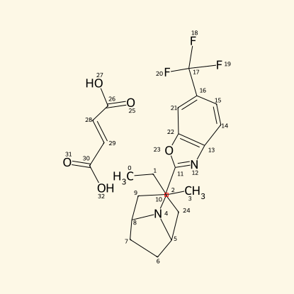 CCC(C)N1C2CCC1CC(c1nc3ccc(C(F)(F)F)cc3o1)C2.O=C(O)C=CC(=O)O